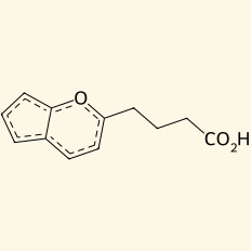 O=C(O)CCCc1ccc2cccc-2o1